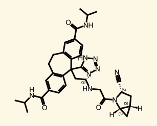 CC(C)NC(=O)c1ccc2c(c1)CCc1cc(C(=O)NC(C)C)ccc1C2(C[C@H](C)NCC(=O)N1[C@H](C#N)C[C@@H]2C[C@@H]21)c1nnn[nH]1